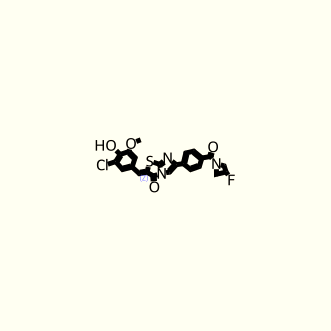 COc1cc(/C=c2\sc3nc(-c4ccc(C(=O)N5CC(F)C5)cc4)cn3c2=O)cc(Cl)c1O